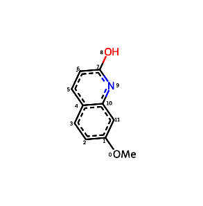 COc1ccc2c[c]c(O)nc2c1